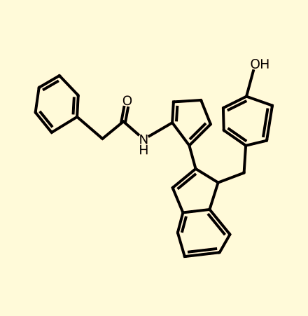 O=C(Cc1ccccc1)NC1=CCC=C1C1=Cc2ccccc2C1Cc1ccc(O)cc1